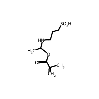 C=C(C)C(=O)OC(C)NCCCS(=O)(=O)O